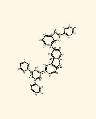 c1ccc(-c2nc(-c3ccccc3)nc(-c3ccc4oc5ccc(-c6cccc7nc(-c8ccccc8)oc67)cc5c4c3)n2)cc1